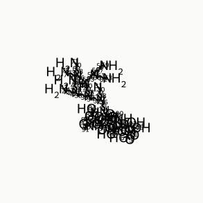 COC1C(C(=O)O)OC(OC2C(O)C(CO)OC(OC3C(C(=O)NCCCN(CCCN)CCCN(CCCN(CCCN)CCCN)CCCN(CCCN(CCCN)CCCN)CCCN(CCCN)CCCN)OC(OC4C(O)C(CO)OC(C)C4NC(C)=O)C(O)C3O)C2NC(C)=O)C(O)C1O